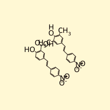 Cc1cc(C=Cc2ccc([N+](=O)[O-])cc2)cc(C)c1O.O=C(O)c1cc(C=Cc2ccc([N+](=O)[O-])cc2)ccc1O